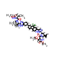 COC(=O)N[C@H](C(=O)N1C[Si](C)(C)C[C@H]1c1nc2ccc(-c3ccc4c(c3)C(F)(F)c3cc(-c5cnc([C@@H]6CC7(CC7)CN6C(=O)[C@@H](NC(=O)OC)C(C)OC)[nH]5)ccc3-4)cc2[nH]1)C(C)C